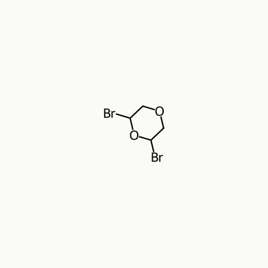 BrC1COCC(Br)O1